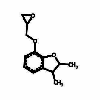 CC1Oc2c(OCC3CO3)cccc2C1C